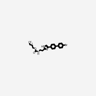 O=C(NCCc1nc(-c2ccc(-c3ccc(Br)cc3)cc2)c[nH]1)OCCCC(F)(F)F